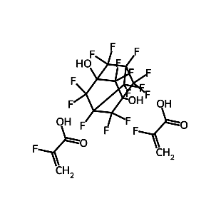 C=C(F)C(=O)O.C=C(F)C(=O)O.OC12C(F)(F)C3(O)C(F)(F)C(F)(C1(F)F)C(F)(F)C(F)(C2(F)F)C3(F)F